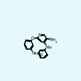 CC(=O)Nc1cccc(Oc2cc(Nc3ccccc3)c(N)cn2)c1